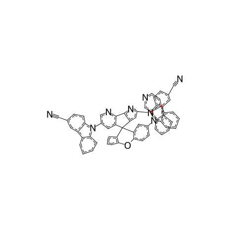 N#Cc1ccc2c(c1)c1ccccc1n2-c1cnc2c(c1)C1(c3ccccc3Oc3ccc(-n4c5ccccc5c5ccncc54)cc31)c1cc(-n3c4ccccc4c4cc(C#N)ccc43)cnc1-2